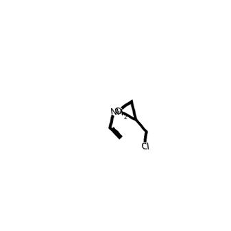 C=CN.ClCC1CO1